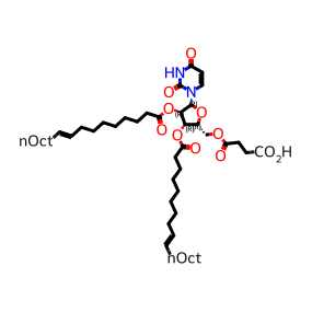 CCCCCCCCC=CCCCCCCCC(=O)O[C@@H]1[C@H](OC(=O)CCCCCCCC=CCCCCCCCC)[C@@H](COC(=O)CCC(=O)O)O[C@H]1n1ccc(=O)[nH]c1=O